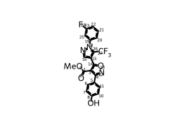 COC(=O)c1c(-c2ccc(O)cc2)noc1-c1cnn(-c2cccc(F)c2)c1C(F)(F)F